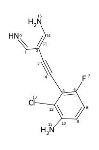 N=C/C(C#Cc1c(F)ccc(N)c1Cl)=C\N